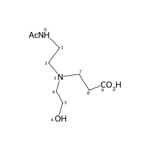 [CH2]C(=O)NCCN(CCO)CCC(=O)O